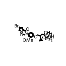 COc1cc(-n2cnn3cc(Br)cc3c2=O)ccc1OCC(CC(C)(C)[Si](C)(C)O)C1CC1